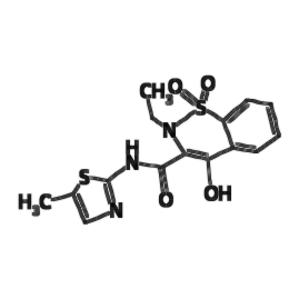 CCN1C(C(=O)Nc2ncc(C)s2)=C(O)c2ccccc2S1(=O)=O